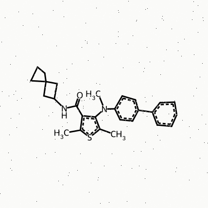 Cc1sc(C)c(N(C)c2ccc(-c3ccccc3)cc2)c1C(=O)NC1CC2(CCC2)C1